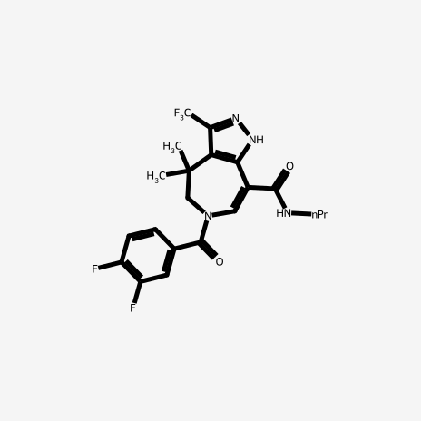 CCCNC(=O)C1=CN(C(=O)c2ccc(F)c(F)c2)CC(C)(C)c2c(C(F)(F)F)n[nH]c21